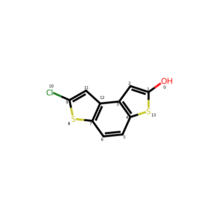 Oc1cc2c(ccc3sc(Cl)cc32)s1